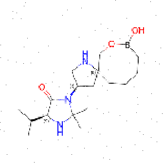 CC(C)[C@@H]1NC(C)(C)N([C@H]2CN[C@]3(CCCCB(O)OC3)C2)C1=O